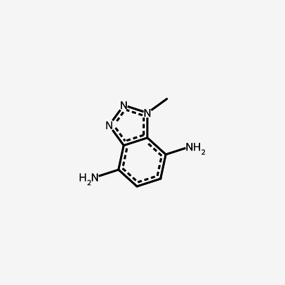 Cn1nnc2c(N)ccc(N)c21